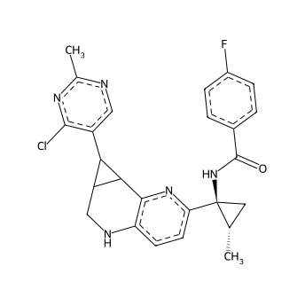 Cc1ncc(C2C3CNc4ccc([C@]5(NC(=O)c6ccc(F)cc6)C[C@@H]5C)nc4C32)c(Cl)n1